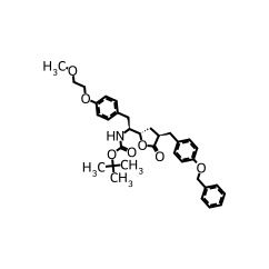 COCCOc1ccc(C[C@H](NC(=O)OC(C)(C)C)[C@@H]2C[C@@H](Cc3ccc(OCc4ccccc4)cc3)C(=O)O2)cc1